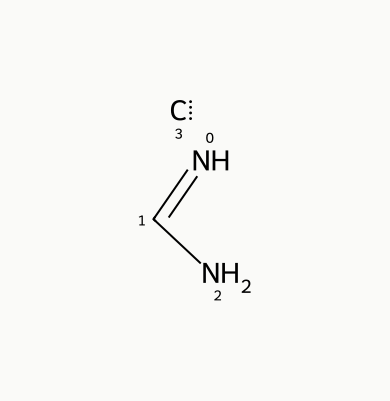 N=CN.[C]